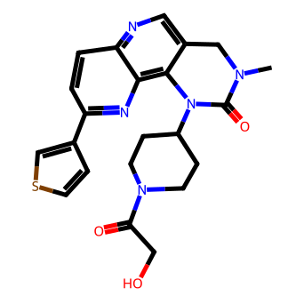 CN1Cc2cnc3ccc(-c4ccsc4)nc3c2N(C2CCN(C(=O)CO)CC2)C1=O